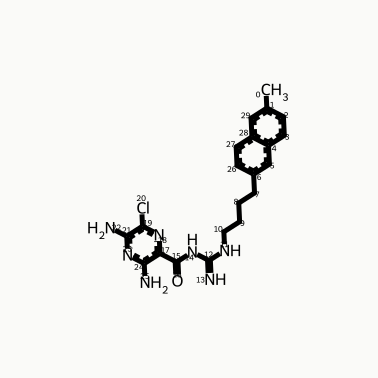 Cc1ccc2cc(CCCCNC(=N)NC(=O)c3nc(Cl)c(N)nc3N)ccc2c1